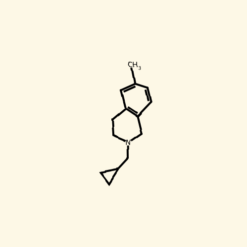 Cc1ccc2c(c1)CCN(CC1CC1)C2